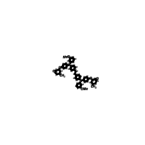 COc1cccc(N(c2ccc(CCc3ccc(N(c4ccc(OC5CC(C)CC6OC56)cc4)c4cccc(OC)c4)cc3)cc2)c2ccc(OC3CC(C)CC4OC34)cc2)c1